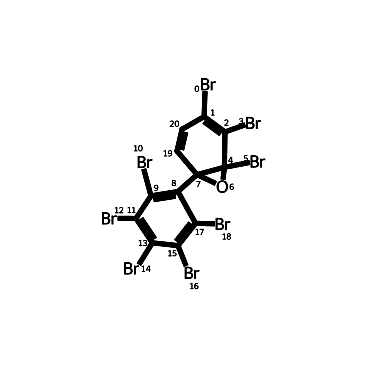 BrC1=C(Br)C2(Br)OC2(c2c(Br)c(Br)c(Br)c(Br)c2Br)C=C1